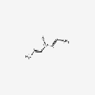 CC=C[S+]([O-])C=CC